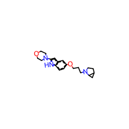 c1cc2[nH]c(N3CCOCC3)cc2cc1OCCCN1CCC2CC21